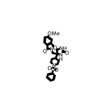 COc1ccc2c(c1)CN(CC1(C3CCN(S(=O)(=O)c4ccccc4)CC3)NC(=O)NC1=O)C2=O